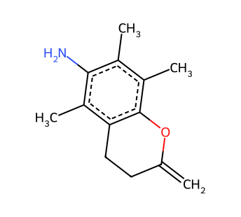 C=C1CCc2c(C)c(N)c(C)c(C)c2O1